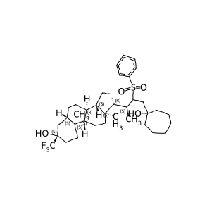 C[C@H](C(CC1(O)CCCCCC1)S(=O)(=O)c1ccccc1)[C@H]1CC[C@H]2[C@@H]3CC[C@H]4C[C@](O)(C(F)(F)F)CC[C@]4(C)[C@H]3CC[C@]12C